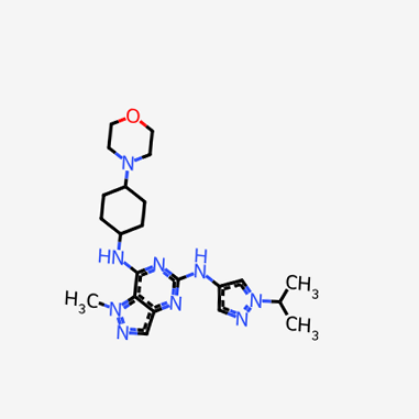 CC(C)n1cc(Nc2nc(NC3CCC(N4CCOCC4)CC3)c3c(cnn3C)n2)cn1